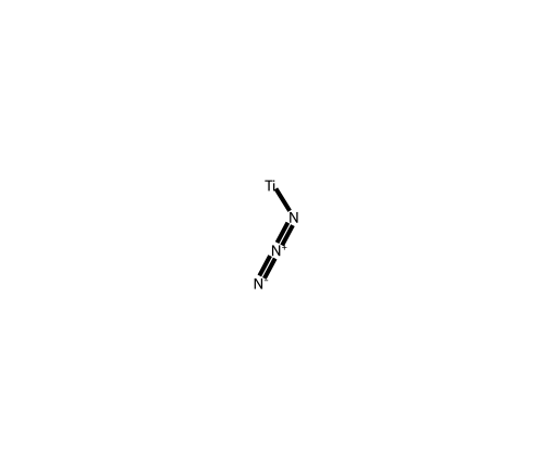 [N-]=[N+]=[N][Ti]